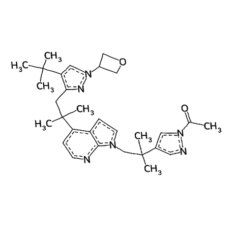 CC(=O)n1cc(C(C)(C)Cn2ccc3c(C(C)(C)Cc4nn(C5COC5)cc4C(C)(C)C)ccnc32)cn1